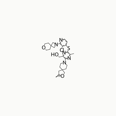 Cc1nc(N2CCC3(CC2)CO[C@@H](C)C3)c(CO)nc1Sc1ccnc(N2CC3(CCOCC3)C2)c1Cl